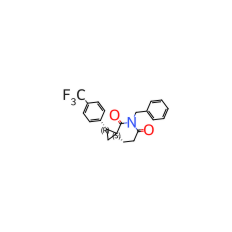 O=C1CC[C@@]2(C[C@@H]2c2ccc(C(F)(F)F)cc2)C(=O)N1Cc1ccccc1